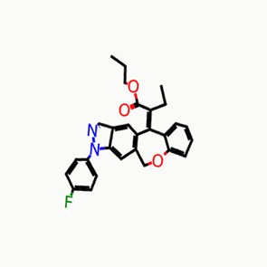 CCCOC(=O)C(CC)=C1c2cc3cnn(-c4ccc(F)cc4)c3cc2COc2ccccc21